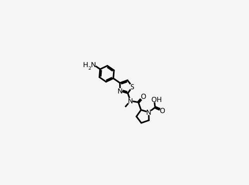 CN(C(=O)C1CCCN1C(=O)O)c1nc(-c2ccc(N)cc2)cs1